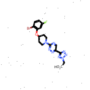 O=C(O)Cn1nnc(-c2cnc(N3CCC(Oc4cc(F)ccc4Br)CC3)nn2)n1